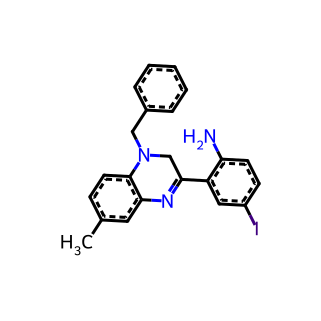 Cc1ccc2c(c1)N=C(c1cc(I)ccc1N)CN2Cc1ccccc1